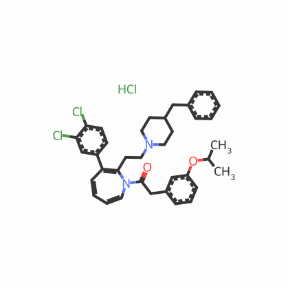 CC(C)Oc1cccc(CC(=O)N2C=CC=CC(c3ccc(Cl)c(Cl)c3)=C2CCN2CCC(Cc3ccccc3)CC2)c1.Cl